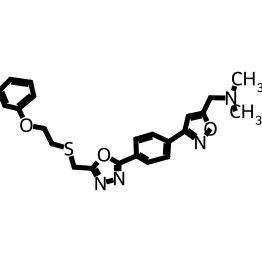 CN(C)Cc1cc(-c2ccc(-c3nnc(CSCCOc4ccccc4)o3)cc2)no1